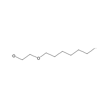 [CH2]CCCCCCOCC[O]